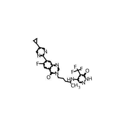 CC(CCCn1cnc2cc(-c3ncc(C4CC4)cn3)c(F)cc2c1=O)Nc1cn[nH]c(=O)c1C(F)(F)F